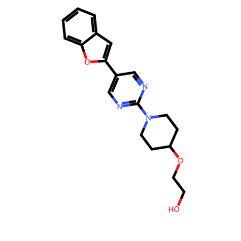 OCCOC1CCN(c2ncc(-c3cc4ccccc4o3)cn2)CC1